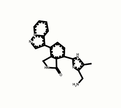 Cc1[nH]c(-c2ccc(-c3cnn4ccccc34)c3c2C(=O)NC3)nc1CN